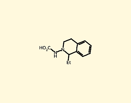 CCC1c2ccccc2CCN1NC(=O)O